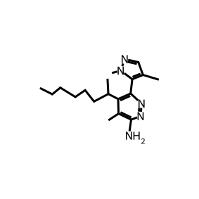 CCCCCCC(C)c1c(-c2c(C)cnn2C)nnc(N)c1C